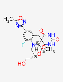 Cc1nc(-c2cc(F)c3c(c2)CC2(C(=O)NC(=O)NC2=O)[C@H]2[C@H](C)O[C@H](CCO)CN32)no1